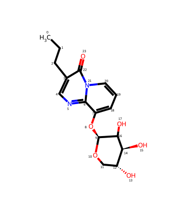 CCCc1cnc2c(O[C@@H]3OC[C@@H](O)[C@H](O)C3O)cccn2c1=O